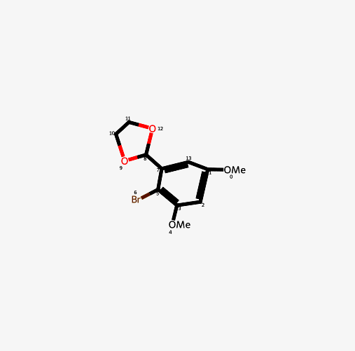 COc1cc(OC)c(Br)c(C2OCCO2)c1